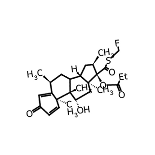 CCC(=O)O[C@]1(C(=O)SCF)[C@H](C)C[C@H]2C3C[C@H](C)C4=CC(=O)C=C[C@]4(C)[C@@]3(C)[C@@H](O)C[C@@]21C